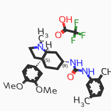 COc1ccc([C@@]23CC[C@@H](NC(=O)Nc4cc(C)ccc4C)C[C@@H]2N(C)CC3)cc1OC.O=C(O)C(F)(F)F